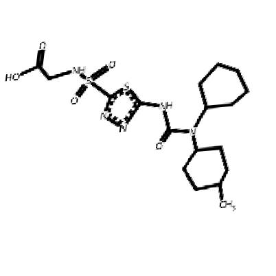 CC1CCC(N(C(=O)Nc2nnc(S(=O)(=O)NCC(=O)O)s2)C2CCCCC2)CC1